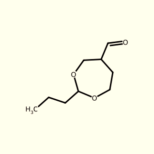 CCCC1OCCC(C=O)CO1